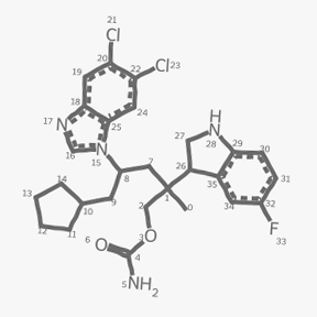 CC(COC(N)=O)(CC(CC1CCCC1)n1cnc2cc(Cl)c(Cl)cc21)C1CNc2ccc(F)cc21